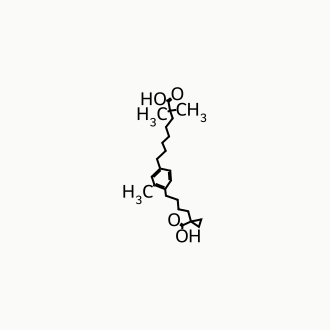 Cc1cc(CCCCCCC(C)(C)C(=O)O)ccc1CCCCC1(C(=O)O)CC1